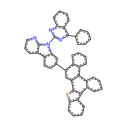 c1ccc(-c2nc(-n3c4cc(-c5cc6c7sc8ccccc8c7c7ccccc7c6c6ccccc56)ccc4c4cccnc43)nc3ccccc23)cc1